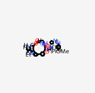 CCc1ccncc1-c1c2c3cc(ccc3n1CC)-c1cccc(c1)C[C@H](NC(=O)[C@H](C(C)C)N(C)C(=O)[C@@H]1CC[C@@H](N=C=Nc3ccc(OC)cc3)C1)C(=O)N1CCC[C@H](N1)C(=O)OCC(C)(C)C2